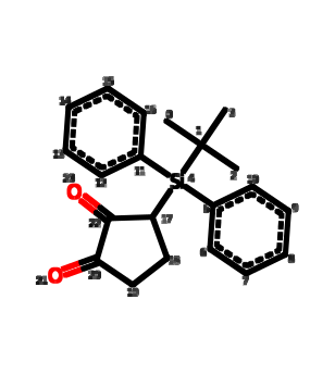 CC(C)(C)[Si](c1ccccc1)(c1ccccc1)C1CCC(=O)C1=O